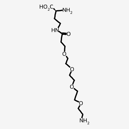 NCCOCCOCCOCCOCCC(=O)NCC[C@H](N)C(=O)O